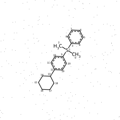 CS(C)(c1ccccc1)c1ccc(C2CCCCC2)cc1